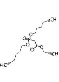 C#CCCCCOP(=O)(CC(=O)OCC#C)OCCCCC#C